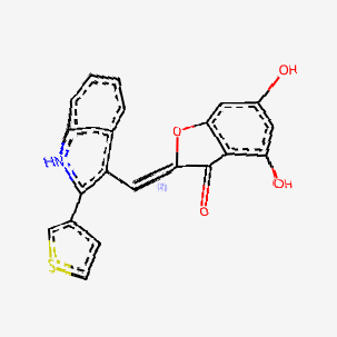 O=C1/C(=C/c2c(-c3ccsc3)[nH]c3ccccc23)Oc2cc(O)cc(O)c21